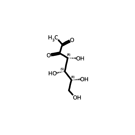 CC(=O)C(=O)[C@H](O)[C@@H](O)[C@H](O)CO